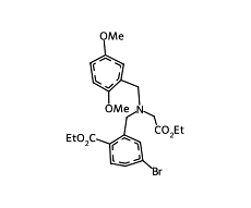 CCOC(=O)CN(Cc1cc(OC)ccc1OC)Cc1cc(Br)ccc1C(=O)OCC